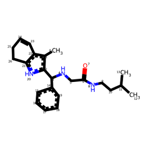 Cc1c(C(NCC(=O)NCCC(C)C)c2ccccc2)[nH]c2c1C=CCC2